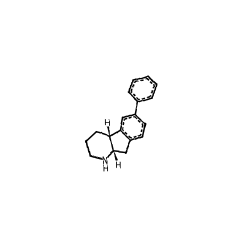 c1ccc(-c2ccc3c(c2)[C@H]2CCCN[C@H]2C3)cc1